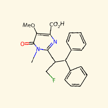 COc1c(C(=O)O)nc(C(CF)C(c2ccccc2)c2ccccc2)n(C)c1=O